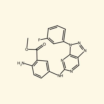 COC(=O)c1cc(Nc2ncc3nnn(-c4cccc(F)c4)c3n2)ccc1N